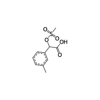 Cc1cccc(C(OS(C)(=O)=O)C(=O)O)c1